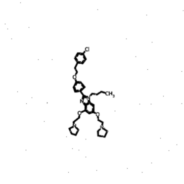 CCCCn1c(-c2ccc(OCCc3ccc(Cl)cc3)cc2)nc2c(OCCN3CCCC3)cc(OCCN3CCCC3)cc21